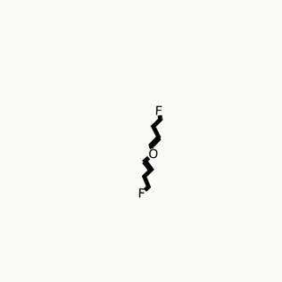 FCCC=COC=CCCF